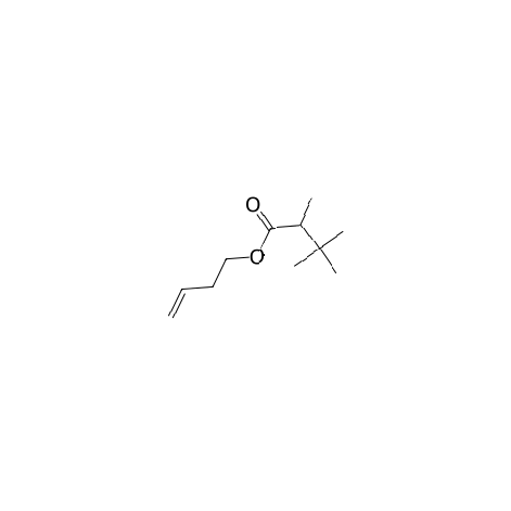 C=CCCOC(=O)C(C)C(C)(C)C